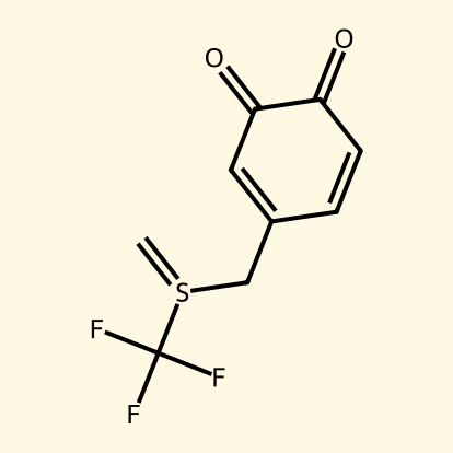 C=S(CC1=CC(=O)C(=O)C=C1)C(F)(F)F